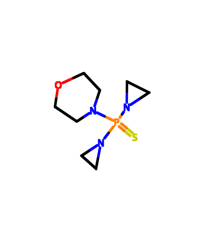 S=P(N1CCOCC1)(N1CC1)N1CC1